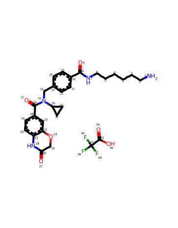 NCCCCCCNC(=O)c1ccc(CN(C(=O)c2ccc3c(c2)OCC(=O)N3)C2CC2)cc1.O=C(O)C(F)(F)F